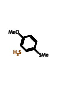 COc1ccc(SC)cc1.S